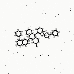 CC1C=CC2=C(C3=CC(C)(C4(C)CCC(c5ccccc5)S4)CC=C3)C3CC=CCC3(C)C(c3ccc4cccc(-c5ccccc5)c4c3)=C2C1